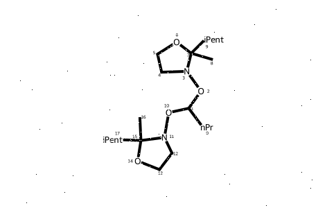 C[CH]CC(ON1CCOC1(C)C(C)CCC)ON1CCOC1(C)C(C)CCC